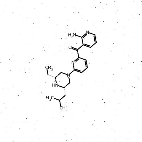 CC[C@@H]1CN(c2cccc(C(=O)c3cccnc3N)n2)C[C@H](CC(C)C)N1